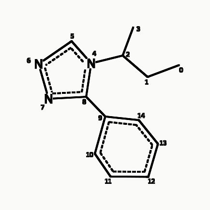 CCC(C)n1cnnc1-c1ccccc1